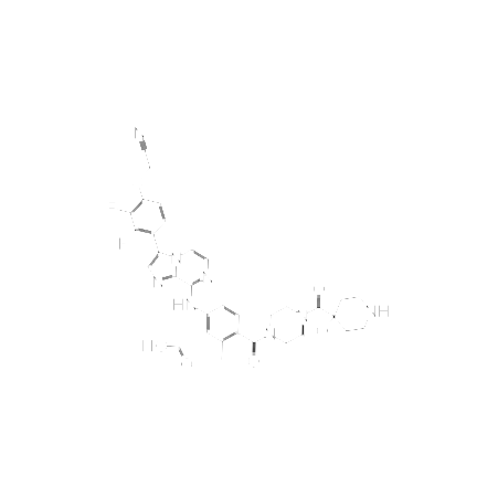 Cc1cc(Nc2nccn3c(-c4ccc(OCC#N)c(F)c4F)cnc23)ccc1C(=O)N1CCN(C(=O)C2(O)CCNCC2)CC1.O=CO